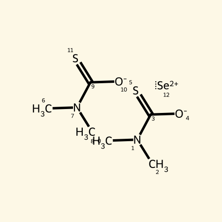 CN(C)C([O-])=S.CN(C)C([O-])=S.[Se+2]